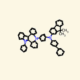 CC1(C)c2ccccc2-c2ccc(N(c3ccc(-c4ccccc4)cc3)c3ccc(N4c5ccccc5-c5c(n(-c6ccccc6)c6ccccc56)-c5ccccc54)cc3)cc21